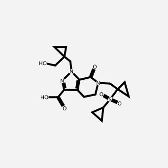 O=C(O)c1nn(CC2(CO)CC2)c2c1CCN(CC1(S(=O)(=O)C3CC3)CC1)C2=O